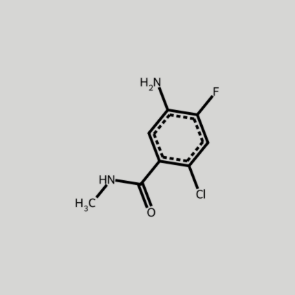 CNC(=O)c1cc(N)c(F)cc1Cl